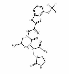 CC(C)C[C@H](NC(=O)c1cc2c(OC(F)(F)F)cccc2[nH]1)C(=O)N[C@@H](C[C@@H]1CCNC1=O)C(N)=O